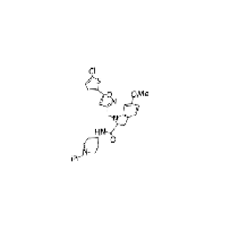 COc1ccc2cc(C(=O)NC3CCN(C(C)C)CC3)n(Cc3cc(-c4ccc(Cl)s4)on3)c2c1